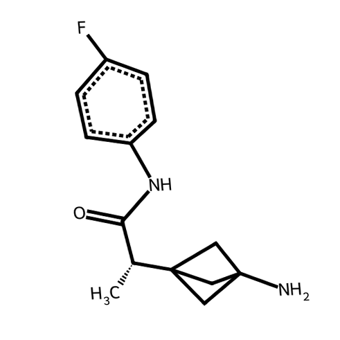 C[C@H](C(=O)Nc1ccc(F)cc1)C12CC(N)(C1)C2